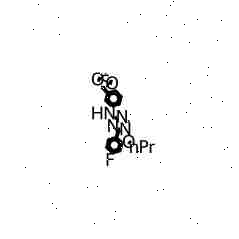 CCCOc1cc(F)ccc1-c1ncnc(Nc2cccc(CS(C)(=O)=O)c2)n1